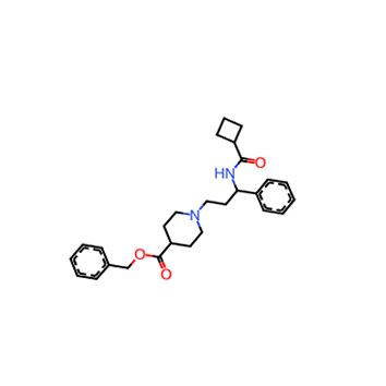 O=C(NC(CCN1CCC(C(=O)OCc2ccccc2)CC1)c1ccccc1)C1CCC1